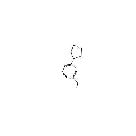 Cl.ClCc1cccc(C2CCCC2)n1